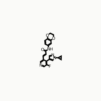 O=C(/C=C/c1cncc(F)c1-c1cnn(C2CC2)c1)Nc1ccc2c(c1)OCCO2